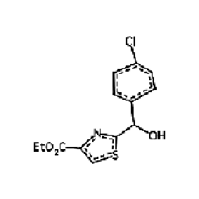 CCOC(=O)c1csc(C(O)c2ccc(Cl)cc2)n1